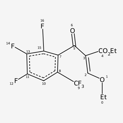 CCOC=C(C(=O)OCC)C(=O)c1c(C(F)(F)F)cc(F)c(F)c1F